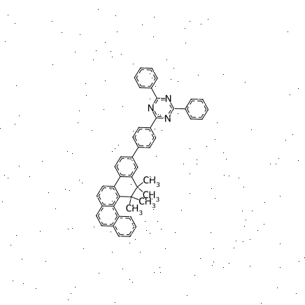 CC1(C)c2cc(-c3ccc(-c4nc(-c5ccccc5)nc(-c5ccccc5)n4)cc3)ccc2-c2ccc3ccc4ccccc4c3c2C1(C)C